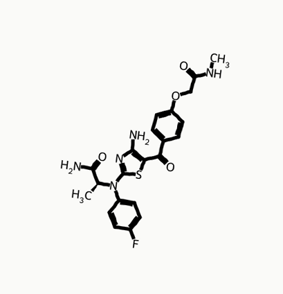 CNC(=O)COc1ccc(C(=O)c2sc(N(c3ccc(F)cc3)[C@@H](C)C(N)=O)nc2N)cc1